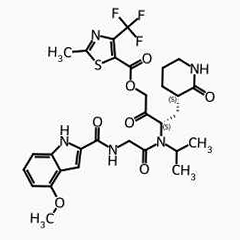 COc1cccc2[nH]c(C(=O)NCC(=O)N(C(C)C)[C@@H](C[C@@H]3CCCNC3=O)C(=O)COC(=O)c3sc(C)nc3C(F)(F)F)cc12